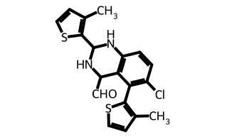 Cc1ccsc1-c1c(Cl)ccc2c1C(C=O)NC(c1sccc1C)N2